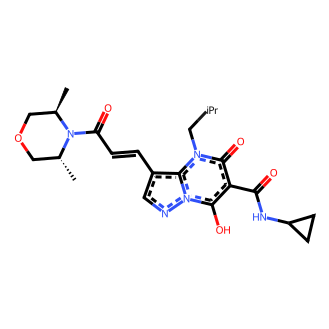 CC(C)Cn1c(=O)c(C(=O)NC2CC2)c(O)n2ncc(/C=C/C(=O)N3[C@H](C)COC[C@H]3C)c12